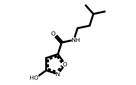 CC(C)CCNC(=O)c1cc(O)no1